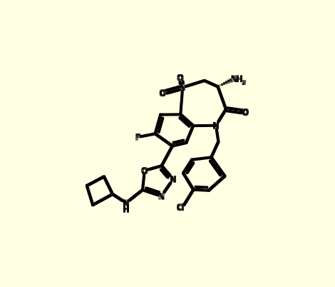 N[C@H]1CS(=O)(=O)c2cc(F)c(-c3nnc(NC4CCC4)o3)cc2N(Cc2ccc(Cl)cc2)C1=O